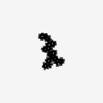 CC1(C)c2ccccc2-c2ccc(N(c3ccc4c(c3)C(C)(C)c3ccccc3-4)c3ccc(-c4cc5c6ccccc6c(-c6ccc7sc8ccccc8c7c6)cc5c5ccccc45)c4ccccc34)cc21